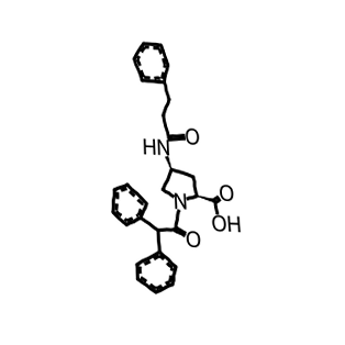 O=C(CCc1ccccc1)N[C@H]1C[C@@H](C(=O)O)N(C(=O)C(c2ccccc2)c2ccccc2)C1